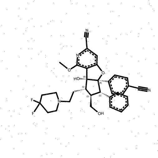 COc1nc(C#N)cc2c1[C@]1(O)[C@@H](CCN3CCC(F)(F)CC3)[C@H](CO)[C@@H](c3ccccc3)[C@]1(c1ccc(C#N)cc1)O2